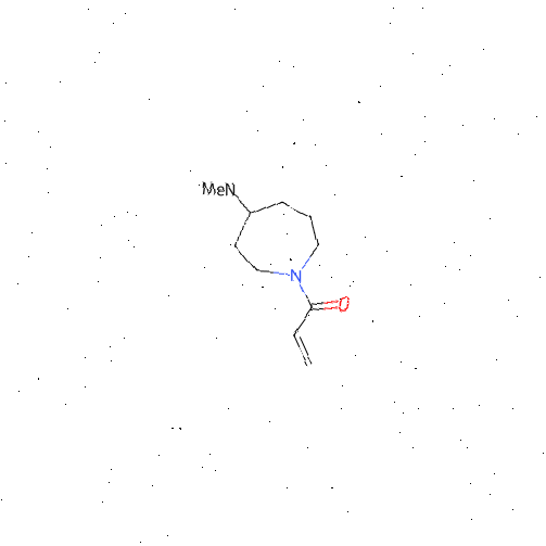 C=CC(=O)N1CCCC(NC)CC1